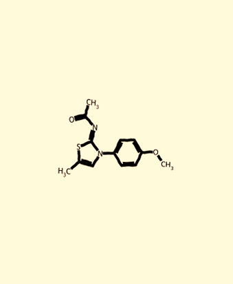 COc1ccc(-n2cc(C)s/c2=N\C(C)=O)cc1